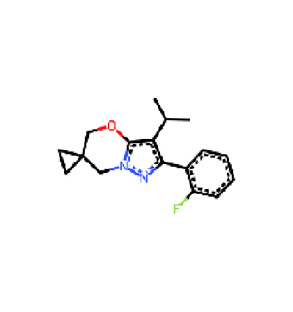 CC(C)c1c(-c2ccccc2F)nn2c1OCC1(CC1)C2